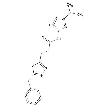 CC(C)c1c[nH]c(NC(=O)CCC2=NN=C(Cc3ccccc3)C2)n1